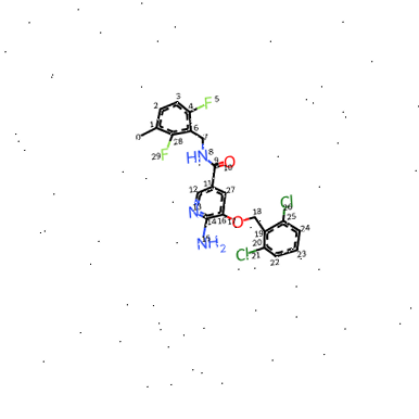 Cc1ccc(F)c(CNC(=O)c2cnc(N)c(OCc3c(Cl)cccc3Cl)c2)c1F